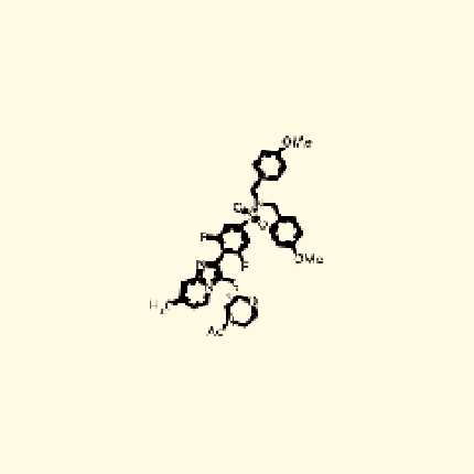 COc1ccc(CN(Cc2ccc(OC)cc2)S(=O)(=O)c2cc(F)c(-c3nc4cc(C)ccn4c3C[C@H]3CN(C(C)=O)CCO3)c(F)c2)cc1